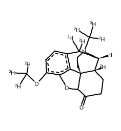 [2H]C([2H])([2H])Oc1ccc2c3c1OC1C(=O)CC[C@@]4([2H])[C@H](N(C([2H])([2H])[2H])CC[C@]314)C2([2H])[2H]